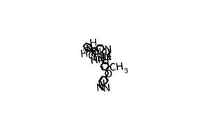 Cc1c(Oc2ccn3ncnc3c2)ccc(Nc2ncnc3ccc([C@@H]4C[C@H]5CC[C@@H]4N5C(=O)OC(C)(C)C)nc23)c1F